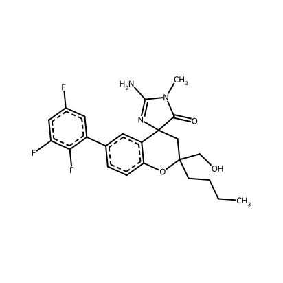 CCCCC1(CO)CC2(N=C(N)N(C)C2=O)c2cc(-c3cc(F)cc(F)c3F)ccc2O1